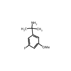 COc1cc(F)cc(C(C)(C)N)c1